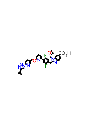 O=C(O)c1ccc2nc(Cc3cc(F)c(-c4cccc(OCc5ccc(-n6cc(C7CC7)nn6)nc5)n4)cc3F)n(C[C@@H]3CCO3)c2c1